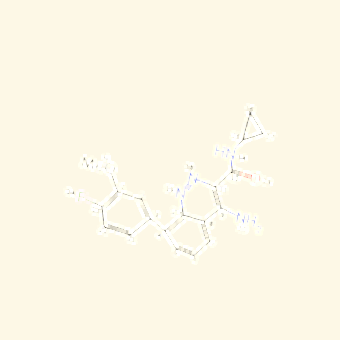 COc1cc(-c2cccc3c(N)c(C(=O)NC4CC4)nnc23)ccc1F